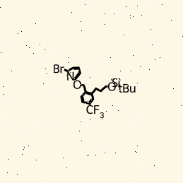 CC(C)(C)[Si](C)(C)OCCCc1cc(C(F)(F)F)ccc1COc1cccc(Br)n1